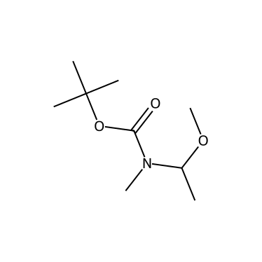 COC(C)N(C)C(=O)OC(C)(C)C